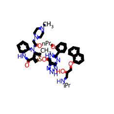 CC(C)NCC(O)COc1cccc2ccccc12.CCCOc1ccccc1-c1nc2[nH]nnc2c(=O)[nH]1.Cc1scc2c1N(C(=O)CN1CCN(C)CC1)c1ccccc1NC2=O